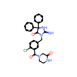 N=C1NC(c2ccccc2)(c2ccccc2)C(=O)N1Cc1ccc(Cl)c(C(=O)N2CCNC(=O)C2)c1